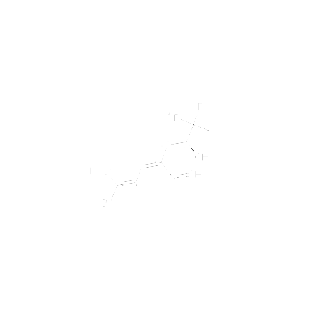 C=N/C(=C\C=C(/C)Br)O[C@H](C)C(F)(F)F